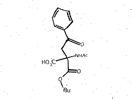 CCC(C)OC(=O)C(CC(=O)c1ccccc1)(NC(C)=O)C(=O)O